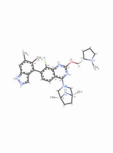 Cc1cc2[nH]ncc2c(-c2ccc3c(N4C[C@H]5CC[C@@H](C4)N5)nc(OC[C@@H]4CCCN4C)nc3c2F)c1C